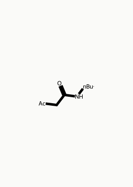 CCC[CH]NC(=O)CC(C)=O